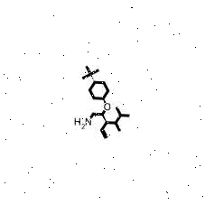 C=C[C@@H](C(CN)O[C@H]1CC[C@H](C(C)(C)C)CC1)C(C)C(C)C